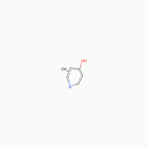 C.Oc1ccncc1